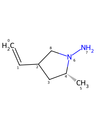 C=CC1C[C@@H](C)N(N)C1